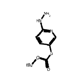 CC(C)(C)OC(=O)Oc1ccc(NN)nc1